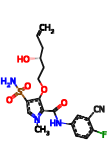 C=CC[C@@H](O)CCOc1c(S(N)(=O)=O)cn(C)c1C(=O)Nc1ccc(F)c(C#N)c1